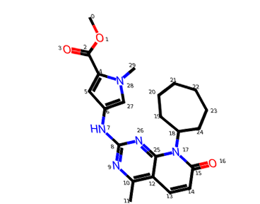 COC(=O)c1cc(Nc2nc(C)c3ccc(=O)n(C4CCCCCC4)c3n2)cn1C